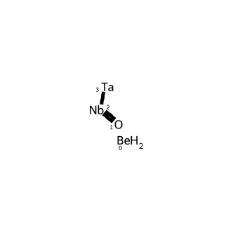 [BeH2].[O]=[Nb][Ta]